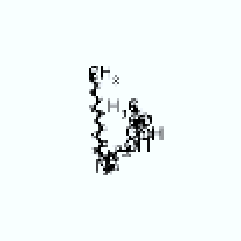 CCCCCCCCCCCCc1nccn1CCO.CCOS(=O)(=O)O